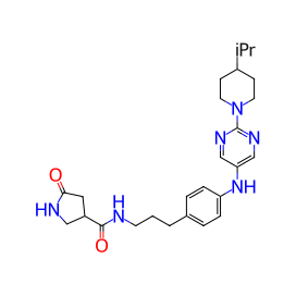 CC(C)C1CCN(c2ncc(Nc3ccc(CCCNC(=O)C4CNC(=O)C4)cc3)cn2)CC1